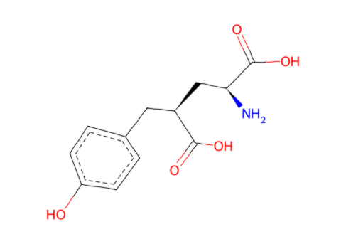 N[C@@H](C[C@H](Cc1ccc(O)cc1)C(=O)O)C(=O)O